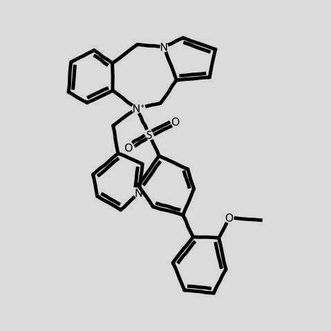 COc1ccccc1-c1ccc(S(=O)(=O)[N+]2(Cc3cccnc3)Cc3cccn3Cc3ccccc32)cc1